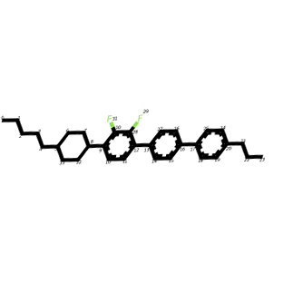 CCCCCC1CCC(c2ccc(-c3ccc(-c4ccc(CCC)cc4)cc3)c(F)c2F)CC1